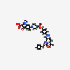 CCn1cc(C(=O)O)c(=O)c2cc(F)c(N3CCN(C(=O)OCc4ccc(NC[C@H](C)/C=C(/F)[C@@H](NC(=O)OCc5ccccc5)C(C)C)cc4)CC3)cc21